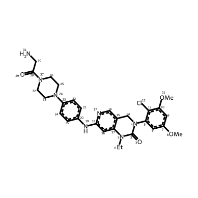 CCN1C(=O)N(c2cc(OC)cc(OC)c2Cl)Cc2cnc(Nc3ccc(N4CCN(C(=O)CN)CC4)cc3)cc21